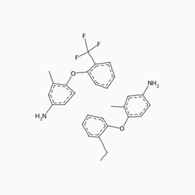 CCc1ccccc1Oc1ccc(N)cc1C.Cc1cc(N)ccc1Oc1ccccc1C(F)(F)F